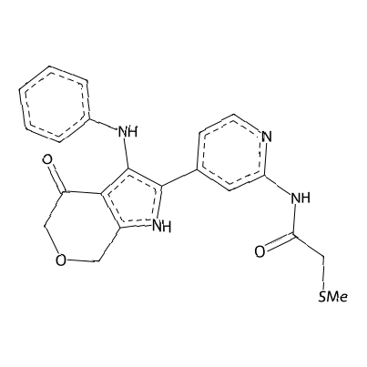 CSCC(=O)Nc1cc(-c2[nH]c3c(c2Nc2ccccc2)C(=O)COC3)ccn1